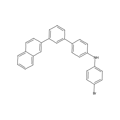 Brc1ccc(Nc2ccc(-c3cccc(-c4ccc5ccccc5c4)c3)cc2)cc1